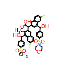 Cc1c(C(C(=O)O)c2cc(C(O)c3ccc(S(=O)(=O)N4CCOCC4)cc3)c3cc(F)ccc3c2)cc2ccc(F)cc2c1C(O)c1ccc(S(C)(=O)=O)cc1